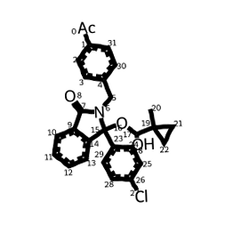 CC(=O)c1ccc(CN2C(=O)c3ccccc3C2(OC(O)C2(C)CC2)c2ccc(Cl)cc2)cc1